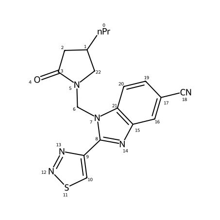 CCCC1CC(=O)N(Cn2c(-c3csnn3)nc3cc(C#N)ccc32)C1